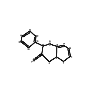 O=C1CC2CC=CC=C2OC1c1ccccc1